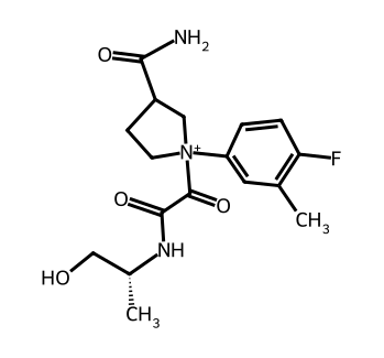 Cc1cc([N+]2(C(=O)C(=O)N[C@H](C)CO)CCC(C(N)=O)C2)ccc1F